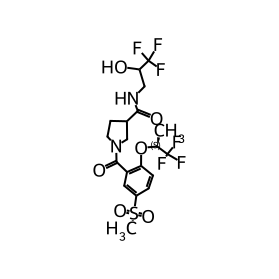 C[C@H](Oc1ccc(S(C)(=O)=O)cc1C(=O)N1CCC(C(=O)NCC(O)C(F)(F)F)C1)C(F)(F)F